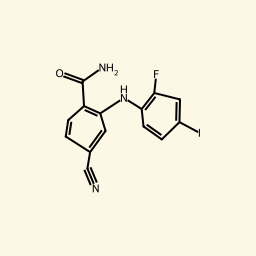 N#Cc1ccc(C(N)=O)c(Nc2ccc(I)cc2F)c1